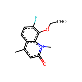 Cc1cc(=O)n(C)c2c(OCC=O)c(F)ccc12